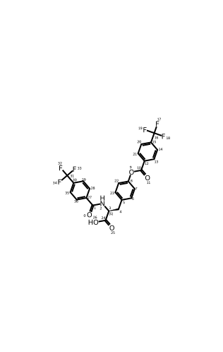 O=C(N[C@@H](Cc1ccc(OC(=O)c2ccc(C(F)(F)F)cc2)cc1)C(=O)O)c1ccc(C(F)(F)F)cc1